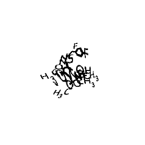 CCOC(=O)c1c(OC)c(=O)c(-c2nnc(Cc3ccc(F)cc3F)s2)cn1N(C)B(C)O